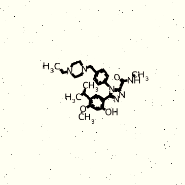 CCN1CCN(Cc2ccc(-n3c(C(=O)NC)nnc3-c3cc(C(C)C)c(OC)cc3O)cc2)CC1